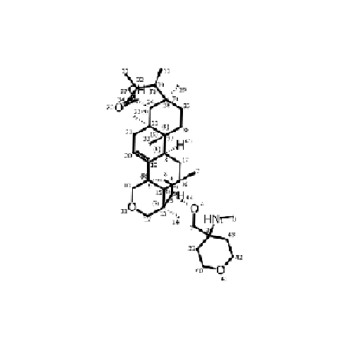 CNC1(CO[C@H]2[C@H](C)C[C@@]34COC[C@@]2(C)[C@@H]3CC[C@H]2C4=CC[C@@]3(C)[C@H](C(=O)O)[C@@](C)([C@H](C)C(C)C)CC[C@]23C)CCOCC1